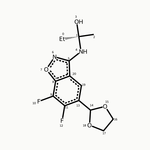 CC[C@@](C)(O)Nc1noc2c(F)c(F)c(C3OCCO3)cc12